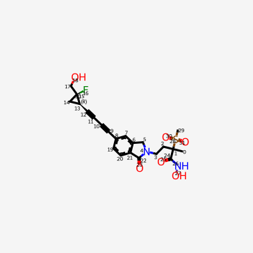 CC(CCN1Cc2cc(C#CC#C[C@H]3C[C@]3(F)CO)ccc2C1=O)(C(=O)NO)S(C)(=O)=O